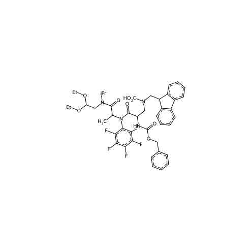 CCOC(CN(C(=O)C(C)N(C(=O)C(CN(CC1c2ccccc2-c2ccccc21)C(=O)O)NC(=O)OCc1ccccc1)c1c(F)c(F)c(F)c(F)c1F)C(C)C)OCC